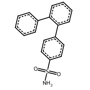 NS(=O)(=O)c1ccc(-c2ccccc2-c2ccccc2)cc1